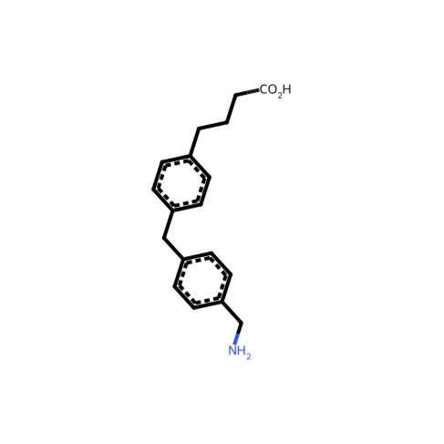 NCc1ccc(Cc2ccc(CCCC(=O)O)cc2)cc1